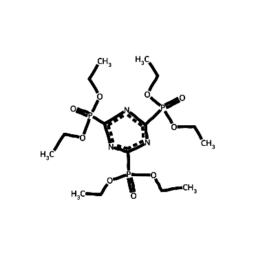 CCOP(=O)(OCC)c1nc(P(=O)(OCC)OCC)nc(P(=O)(OCC)OCC)n1